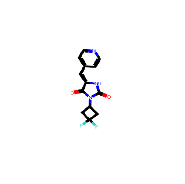 O=C1N/C(=C\c2ccncc2)C(=O)N1C1CC(F)(F)C1